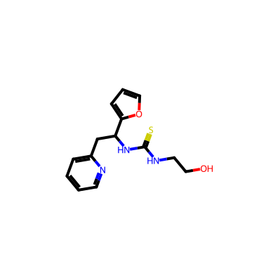 OCCNC(=S)NC(Cc1ccccn1)c1ccco1